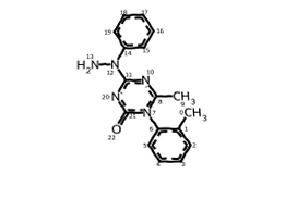 Cc1ccccc1-n1c(C)nc(N(N)c2ccccc2)nc1=O